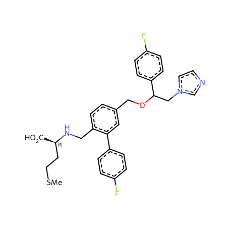 CSCC[C@H](NCc1ccc(COC(Cn2ccnc2)c2ccc(F)cc2)cc1-c1ccc(F)cc1)C(=O)O